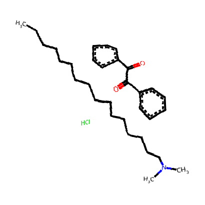 CCCCCCCCCCCCCCCCN(C)C.Cl.O=C(C(=O)c1ccccc1)c1ccccc1